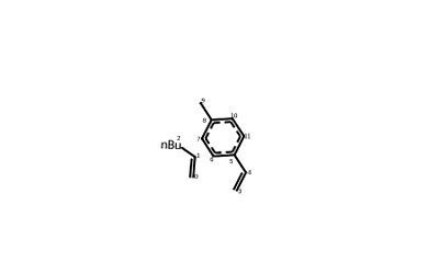 C=CCCCC.C=Cc1ccc(C)cc1